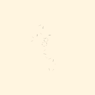 CC1(C)C2=CC=C(N3C4=C(C=C(c5ccc6c(c5)c5c(n6C6C=C(C7C=CC=CC7)C=C(C7=CCCC=C7)C6)C=CCC5)CC4)C4CCCCC43)CC2C2C=CC=CC21